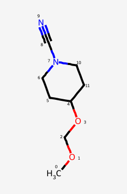 COCOC1CCN(C#N)CC1